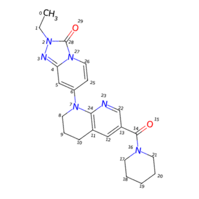 CCn1nc2cc(N3CCCc4cc(C(=O)N5CCCCC5)cnc43)ccn2c1=O